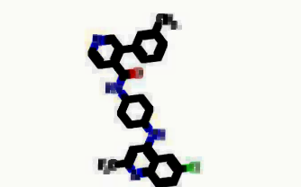 Cc1cccc(-c2cnccc2C(=O)NC2CCC(Nc3cc(C(F)(F)F)nc4ccc(Cl)cc34)CC2)c1